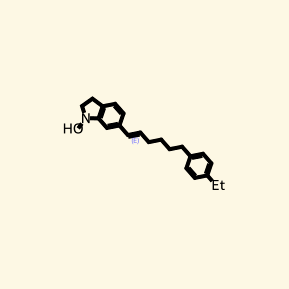 CCc1ccc(CCCC/C=C/c2ccc3c(c2)N(O)CC3)cc1